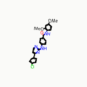 COc1ccc(NC(=O)c2ccc(Nc3nccc(-c4ccc(Cl)cc4)n3)cc2)c(OC)c1